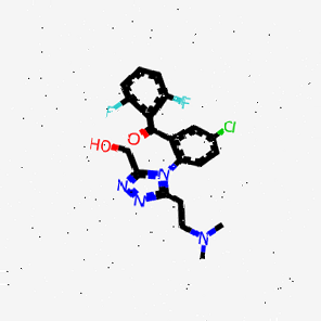 CN(C)CCc1nnc(CO)n1-c1ccc(Cl)cc1C(=O)c1c(F)cccc1F